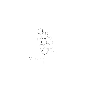 CCC(C)C(C(CC(=O)N1CCCC1C(OC)C(C)C(=O)NC(Cc1ccccc1)C(=O)N(CC)CC)OC)N(C)C(=O)CNC(=O)C(C(C)C)N1CCNCC1